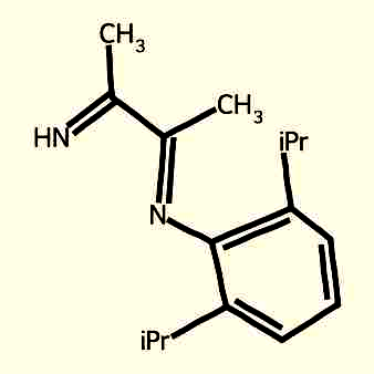 CC(=N)C(C)=Nc1c(C(C)C)cccc1C(C)C